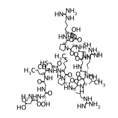 CSCC[C@H](NC(=O)[C@H](CS)NC(=O)[C@H](CC(C)C)NC(=O)CNC(=O)[C@H](CO)NC(=O)[C@@H](N)CC(=O)O)C(=O)N1CCC[C@H]1C(=O)N[C@@H](CCCNC(=N)N)C(=O)N[C@@H](CC(C)C)C(=O)N[C@@H](CCCNC(=N)N)C(=O)NCC(=O)N[C@@H](CS)C(=O)N[C@@H](CC(=O)O)C(=O)N1CCC[C@H]1C(=O)N[C@@H](CCCNC(=N)N)C(=O)O